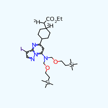 [2H]C(C(=O)OCC)C1([2H])CCC(c2cc(N(COCC[Si](C)(C)C)COCC[Si](C)(C)C)n3ncc(I)c3n2)CC1